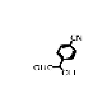 N#Cc1ccc(C(O)C=O)cc1